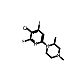 CC1CN(C)CCN1c1cc(I)c(Cl)c(F)n1